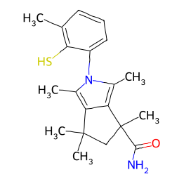 Cc1cccc(-n2c(C)c3c(c2C)C(C)(C(N)=O)CC3(C)C)c1S